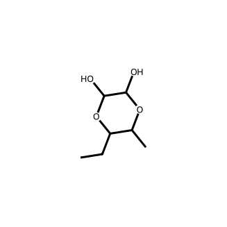 CCC1OC(O)C(O)OC1C